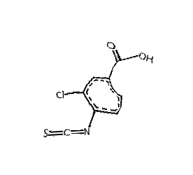 O=C(O)c1ccc(N=C=S)c(Cl)c1